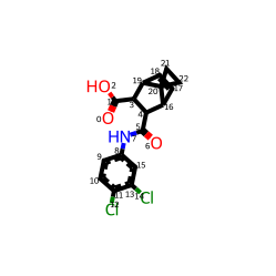 O=C(O)C1C(C(=O)Nc2ccc(Cl)c(Cl)c2)C2C=CC1C21CC1